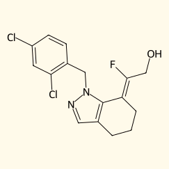 OC/C(F)=C1\CCCc2cnn(Cc3ccc(Cl)cc3Cl)c21